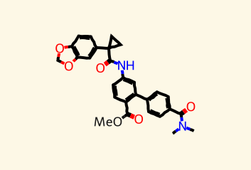 COC(=O)c1ccc(NC(=O)C2(c3ccc4c(c3)OCO4)CC2)cc1-c1ccc(C(=O)N(C)C)cc1